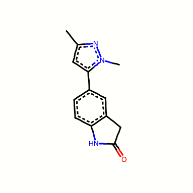 Cc1cc(-c2ccc3c(c2)CC(=O)N3)n(C)n1